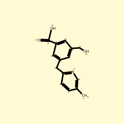 Cc1ccc(Cc2cc(CO)cc(C(=O)O)c2)nc1